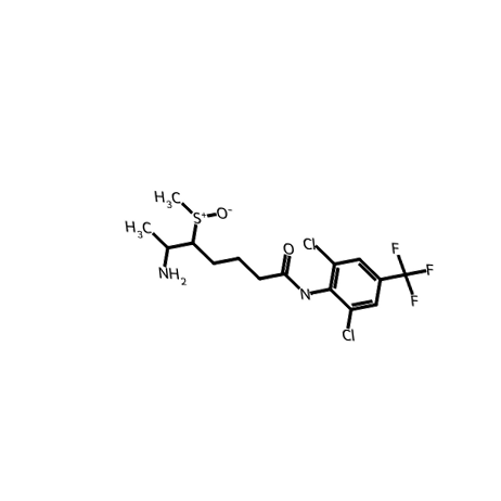 CC(N)C(CCCC(=O)[N]c1c(Cl)cc(C(F)(F)F)cc1Cl)[S+](C)[O-]